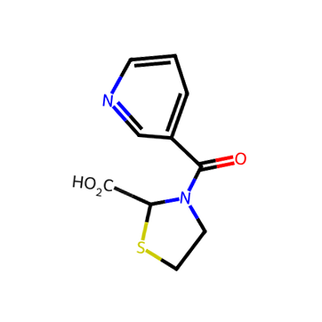 O=C(O)C1SCCN1C(=O)c1cccnc1